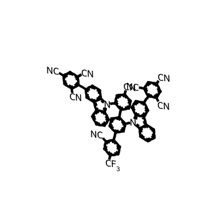 N#Cc1cc(C#N)c(-c2ccc3c(c2)c2ccccc2n3-c2cc(C#N)ccc2-c2ccc(-c3ccc(C(F)(F)F)cc3C#N)cc2-n2c3ccccc3c3cc(-c4c(C#N)cc(C#N)cc4C#N)ccc32)c(C#N)c1